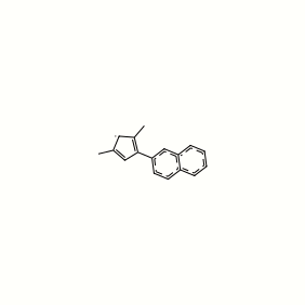 CC1=CC(c2ccc3ccccc3c2)=C(C)[CH]1